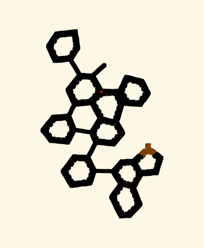 Cc1c(-c2ccccc2)cc(-c2ccccc2-c2c(-c3ccccc3-c3cc4sccc4c4ccccc34)ccc3ccccc23)cc1-c1ccccc1